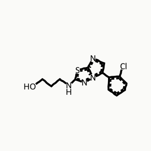 OCCCNc1nn2c(-c3ccccc3Cl)cnc2s1